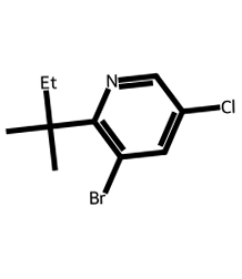 CCC(C)(C)c1ncc(Cl)cc1Br